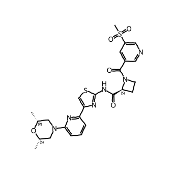 C[C@@H]1CN(c2cccc(-c3csc(NC(=O)[C@@H]4CCN4C(=O)c4cncc(S(C)(=O)=O)c4)n3)n2)C[C@H](C)O1